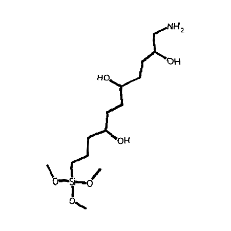 CO[Si](CCCC(O)CCC(O)CCC(O)CN)(OC)OC